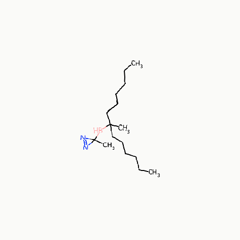 CCCCCCC(C)(BC1(C)N=N1)CCCCCC